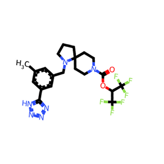 Cc1cc(CN2CCCC23CCN(C(=O)OC(C(F)(F)F)C(F)(F)F)CC3)cc(-c2nnn[nH]2)c1